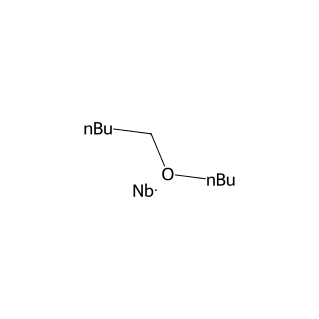 CCCCCOCCCC.[Nb]